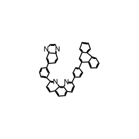 c1cc(-c2ccc3nccnc3c2)cc(-c2ccc3ccc4ccc(-c5ccc(-c6cc7ccccc7c7ccccc67)cc5)nc4c3n2)c1